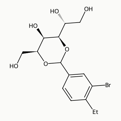 CCc1ccc(C2O[C@H]([C@H](O)CO)[C@H](O)[C@H](CO)O2)cc1Br